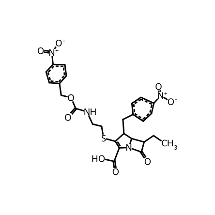 CCC1C(=O)N2C(C(=O)O)=C(SCCNC(=O)OCc3ccc([N+](=O)[O-])cc3)C(Cc3ccc([N+](=O)[O-])cc3)C12